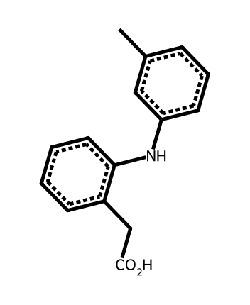 Cc1cccc(Nc2ccccc2CC(=O)O)c1